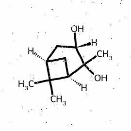 CC1(C)[C@@H]2C[C@H]1C(C)(O)[C@@H](O)C2